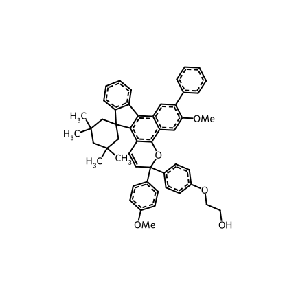 COc1ccc(C2(c3ccc(OCCO)cc3)C=Cc3c4c(c5cc(-c6ccccc6)c(OC)cc5c3O2)-c2ccccc2C42CC(C)(C)CC(C)(C)C2)cc1